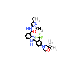 Cc1cc(NC(=O)c2cccc3[nH]c(-c4ccc(N5CCOC(C)(C)C5)cc4C(F)(F)F)nc23)n(C)n1